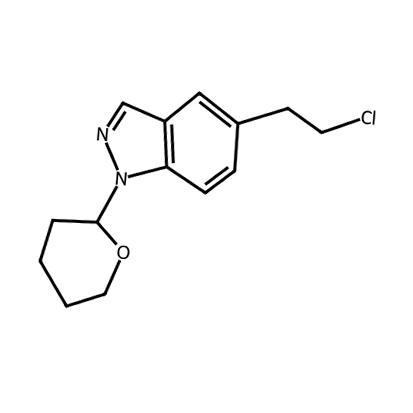 ClCCc1ccc2c(cnn2C2CCCCO2)c1